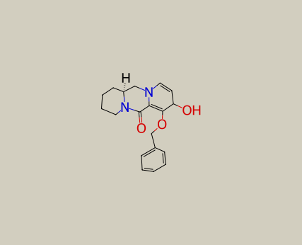 O=C1C2=C(OCc3ccccc3)C(O)C=CN2C[C@@H]2CCCCN12